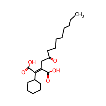 CCCCCCCCC(=O)CC(C(=O)O)=C(C(=O)O)C1CCCCC1